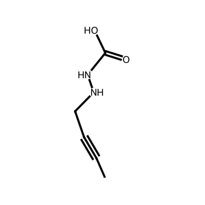 CC#CCNNC(=O)O